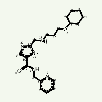 O=C(NCc1ccccn1)c1cnc(CNCCCOC2CCCCC2)[nH]1